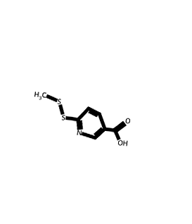 CSSc1ccc(C(=O)O)cn1